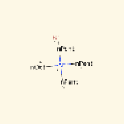 CCCCCCCC[N+](CCCCC)(CCCCC)CCCCC.[Br-]